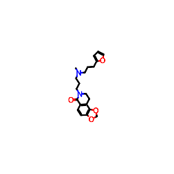 CN(CCCc1ccco1)CCCN1CCc2c(ccc3c2OCO3)C1=O